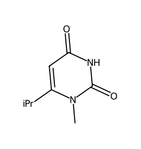 CC(C)c1cc(=O)[nH]c(=O)n1C